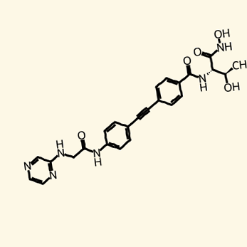 C[C@@H](O)[C@H](NC(=O)c1ccc(C#Cc2ccc(NC(=O)CNc3cnccn3)cc2)cc1)C(=O)NO